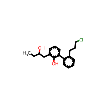 CCC(O)Cc1cccc(-c2ccccc2CCCCl)c1O